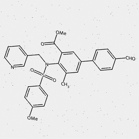 COC(=O)c1cc(-c2ccc(C=O)cc2)cc(C)c1N(Cc1cccnc1)S(=O)(=O)c1ccc(OC)cc1